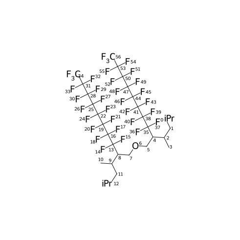 CC(C)CC(C)C(COCC(C(C)CC(C)C)C(F)(F)C(F)(F)C(F)(F)C(F)(F)C(F)(F)C(F)(F)C(F)(F)C(F)(F)F)C(F)(F)C(F)(F)C(F)(F)C(F)(F)C(F)(F)C(F)(F)C(F)(F)C(F)(F)F